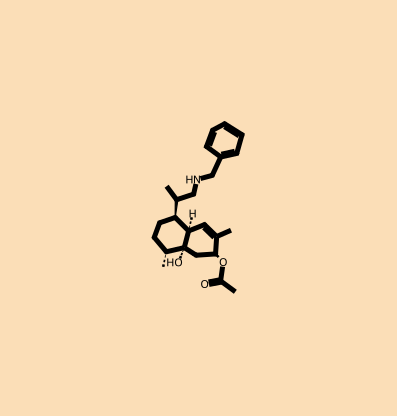 CC(=O)O[C@@H]1[CH][C@@]2(O)[C@H](C)CC[C@@H](C(C)CNCc3ccccc3)[C@H]2C=C1C